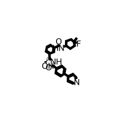 CC1(F)CCC(NC(=O)c2cccc([C@@H](CO)NC(=O)c3ccc(-c4ccncc4)cc3)c2)CC1